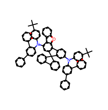 CC(C)(C)c1ccc(N(c2ccc3c(c2)C2(c4ccccc4-c4ccccc42)c2cc(N(c4ccc(C(C)(C)C)cc4)c4ccc(-c5ccccc5)cc4-c4ccccc4)c4c(oc5ccccc54)c2-3)c2ccc(-c3ccccc3)cc2-c2ccccc2)cc1